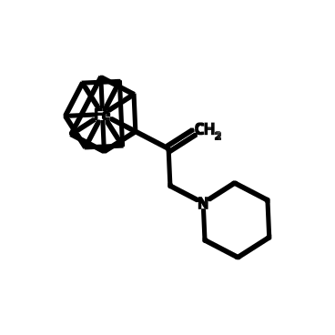 C=C(CN1CCCCC1)[C]12[CH]3[CH]4[CH]5[CH]1[Fe]45321678[CH]2[CH]1[CH]6[CH]7[CH]28